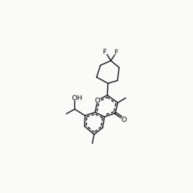 Cc1cc(C(C)O)c2oc(C3CCC(F)(F)CC3)c(C)c(=O)c2c1